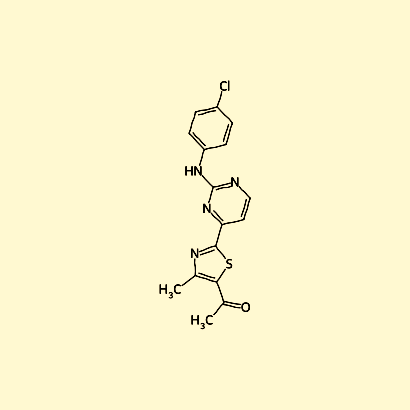 CC(=O)c1sc(-c2ccnc(Nc3ccc(Cl)cc3)n2)nc1C